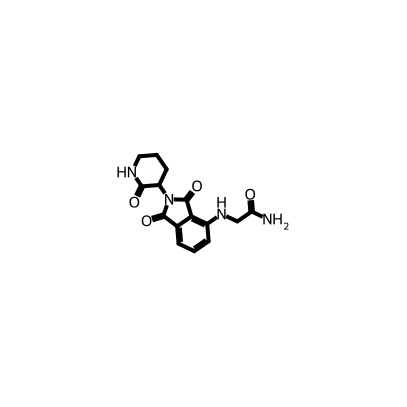 NC(=O)CNc1cccc2c1C(=O)N(C1CCCNC1=O)C2=O